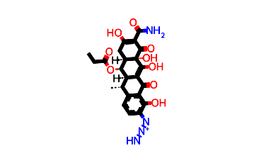 CCC(=O)O[C@H]1[C@H]2C(=C(O)[C@]3(O)C(=O)C(C(N)=O)=C(O)C[C@H]13)C(=O)c1c(ccc(N=[N+]=N)c1O)[C@@H]2C